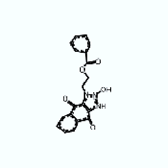 O=C(OCCn1c2c(=O)c3ccccc3c(=O)c=2[nH]n1O)c1ccccc1